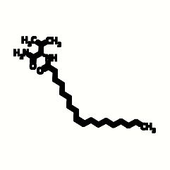 CCCCCCCC/C=C\CCCCCCCC(=O)N[C@H](C(N)=O)C(C)C